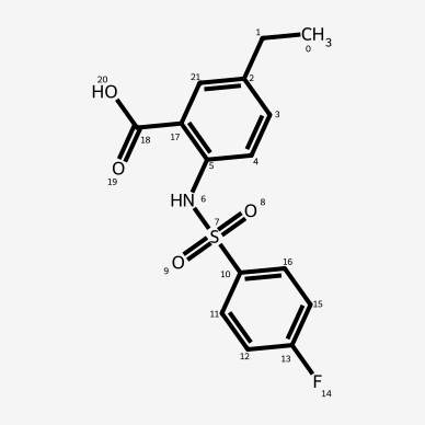 CCc1ccc(NS(=O)(=O)c2ccc(F)cc2)c(C(=O)O)c1